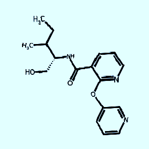 CCC(C)[C@@H](CO)NC(=O)c1cccnc1Oc1cccnc1